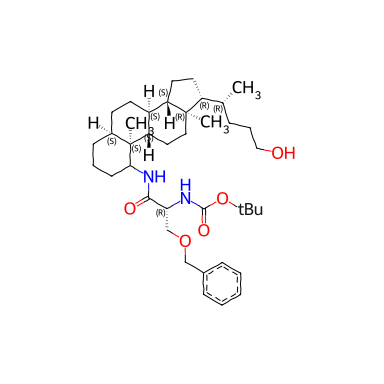 C[C@H](CCCO)[C@H]1CC[C@H]2[C@@H]3CC[C@@H]4CCCC(NC(=O)[C@@H](COCc5ccccc5)NC(=O)OC(C)(C)C)[C@]4(C)[C@H]3CC[C@]12C